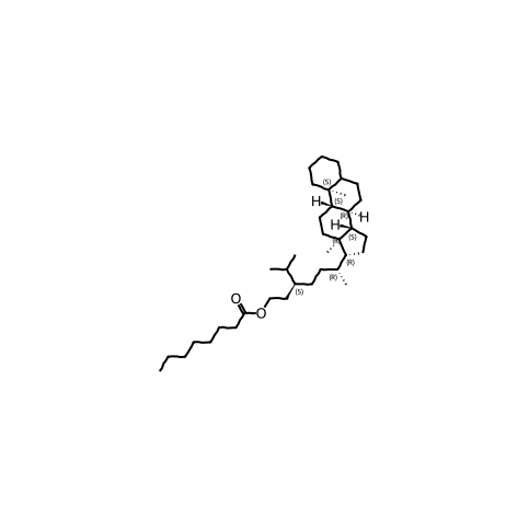 CCCCCCCC(=O)OCC[C@H](CC[C@@H](C)[C@H]1CC[C@H]2[C@@H]3CCC4CCCC[C@]4(C)[C@H]3CC[C@]12C)C(C)C